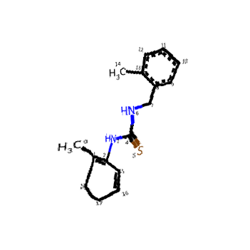 CC1=C(NC(=S)NCc2ccccc2C)C=CCC1